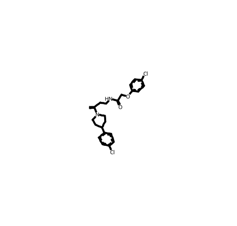 C=C(CCNC(=O)COc1ccc(Cl)cc1)N1CCC(c2ccc(Cl)cc2)CC1